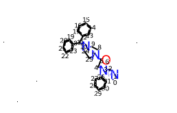 C/N=C\N(CC(=O)N1CCN(C(c2ccccc2)c2ccccc2)CC1)c1ccccc1